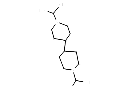 CC(C)N1CCC(C2CCN(C(C)C)CC2)CC1